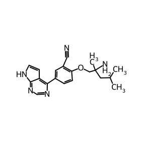 CC(C)CC(C)(N)COc1ccc(-c2ncnc3[nH]ccc23)cc1C#N